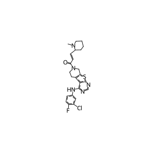 CN1CCCCC1/C=C/C(=O)N1CCc2c(sc3ncnc(Nc4ccc(F)c(Cl)c4)c23)C1